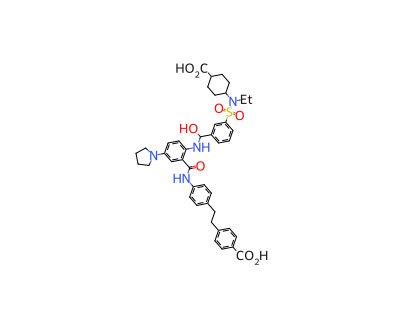 CCN(C1CCC(C(=O)O)CC1)S(=O)(=O)c1cccc(C(O)Nc2ccc(N3CCCC3)cc2C(=O)Nc2ccc(CCc3ccc(C(=O)O)cc3)cc2)c1